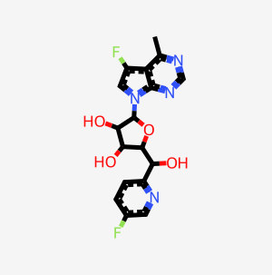 Cc1ncnc2c1c(F)cn2C1OC(C(O)c2ccc(F)cn2)C(O)C1O